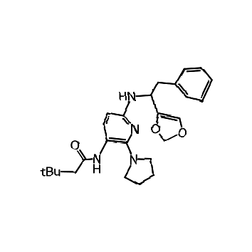 CC(C)(C)CC(=O)Nc1ccc(NC(Cc2ccccc2)C2=COCO2)nc1N1CCCC1